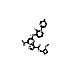 CNc1cc(Nc2cccn(-c3ccc(F)cn3)c2=O)nc2c(C(=O)NC3CC[C@H]3OC)cnn12